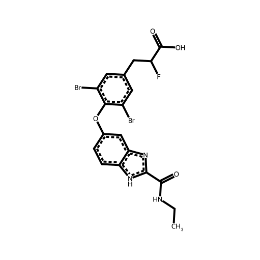 CCNC(=O)c1nc2cc(Oc3c(Br)cc(CC(F)C(=O)O)cc3Br)ccc2[nH]1